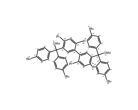 COC(c1ccc(C(C)(C)C)cc1)(c1ccc(C(C)(C)C)cc1)c1cc(-c2cc(C(OC)(c3ccc(C(C)(C)C)cc3)c3ccc(C(C)(C)C)cc3)c(C(C)C)cc2C(C)C)c(C(C)C)cc1C(C)C